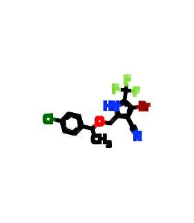 CC(OCc1[nH]c(C(F)(F)F)c(Br)c1C#N)c1ccc(Cl)cc1